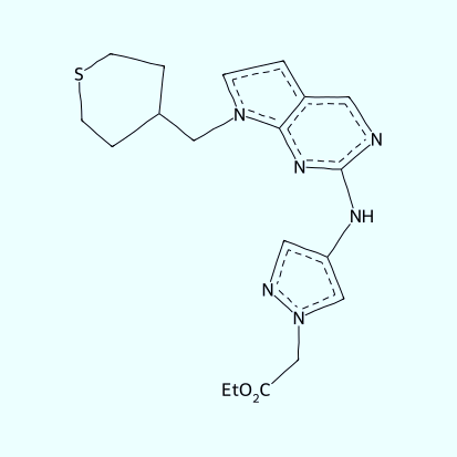 CCOC(=O)Cn1cc(Nc2ncc3ccn(CC4CCSCC4)c3n2)cn1